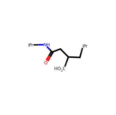 CC(C)CC(CC(=O)NC(C)C)C(=O)O